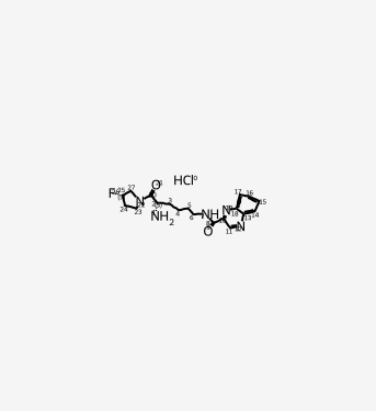 Cl.N[C@@H](CCCCNC(=O)c1cnc2ccccc2n1)C(=O)N1CC[C@H](F)C1